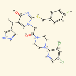 CC(c1cn[nH]c1)c1cn(CC(=O)N2CCN(c3ncc(Cl)cc3Cl)CC2)c(SCc2ccc(F)cc2)nc1=O